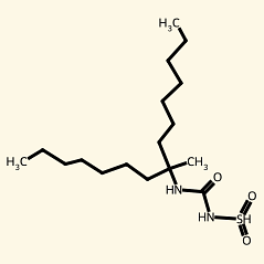 CCCCCCCC(C)(CCCCCCC)NC(=O)N[SH](=O)=O